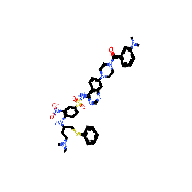 CN(C)CCC(CSc1ccccc1)Nc1ccc(S(=O)(=O)Nc2ncnc3cc(N4CCN(C(=O)c5cccc(N(C)C)c5)CC4)ccc23)cc1[N+](=O)[O-]